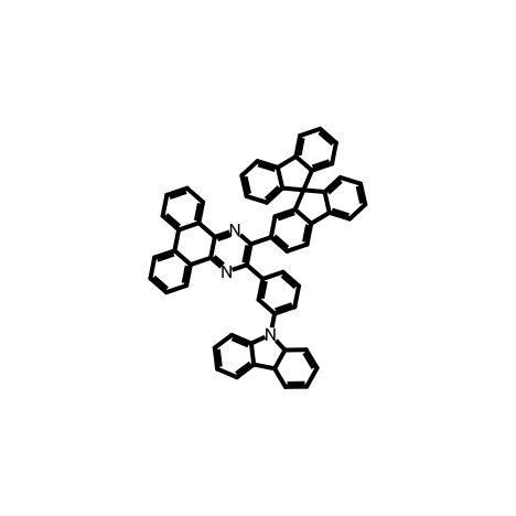 C1=CC2c3ccccc3N(c3cccc(-c4nc5c6ccccc6c6ccccc6c5nc4-c4ccc5c(c4)C4(c6ccccc6-c6ccccc64)c4ccccc4-5)c3)C2C=C1